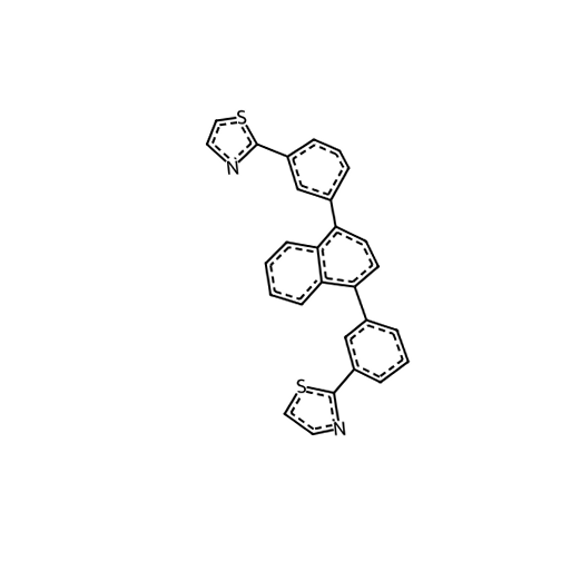 c1cc(-c2nccs2)cc(-c2ccc(-c3cccc(-c4nccs4)c3)c3ccccc23)c1